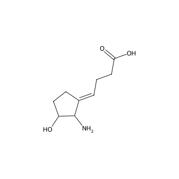 NC1/C(=C/CCC(=O)O)CCC1O